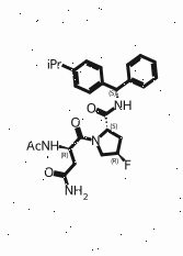 CC(=O)N[C@H](CC(N)=O)C(=O)N1C[C@H](F)C[C@H]1C(=O)N[C@@H](c1ccccc1)c1ccc(C(C)C)cc1